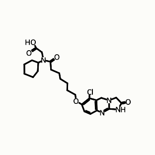 O=C(O)CN(C(=O)CCCCCCOc1ccc2c(c1Cl)CN1CC(=O)NC1=N2)C1CCCCC1